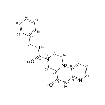 O=C1Nc2ncccc2N2CCN(C(=O)OCc3ccccc3)CC12